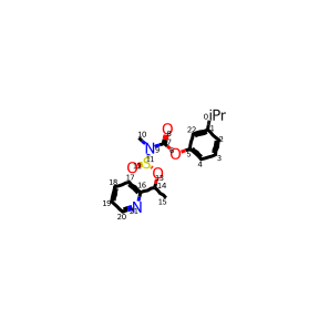 CC(C)c1cccc(OC(=O)N(C)S(=O)OC(C)c2ccccn2)c1